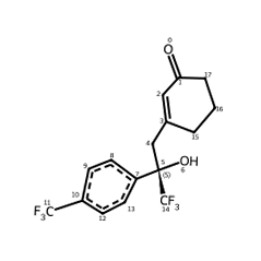 O=C1C=C(C[C@](O)(c2ccc(C(F)(F)F)cc2)C(F)(F)F)CCC1